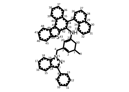 CC1C=C(Cn2nc(-c3ccccc3)c3ccccc32)C=C(Nc2c(-c3cccc4ccccc34)c3ccccc3c3c2sc2ccccc23)C1